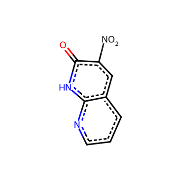 O=c1[nH]c2ncccc2cc1[N+](=O)[O-]